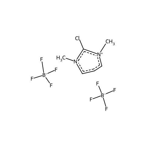 C[n+]1ccc[n+](C)c1Cl.F[B-](F)(F)F.F[B-](F)(F)F